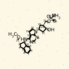 COC[C@H]1Cc2ccccc2[C@H]1Nc1ncnc2c1ccn2[C@@H]1C[C@@H](COS(N)(=O)=O)[C@@H](O)C1